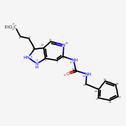 CCOC(=O)CCC1NNc2cc(NC(=O)NCc3ccccc3)ncc21